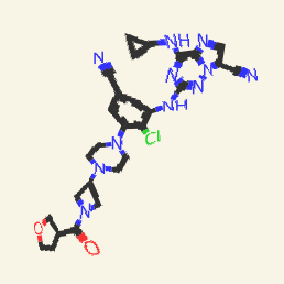 N#Cc1cc(Nc2nc(NC3CC3)c3ncc(C#N)n3n2)c(Cl)c(N2CCN(C3CN(C(=O)C4CCOC4)C3)CC2)c1